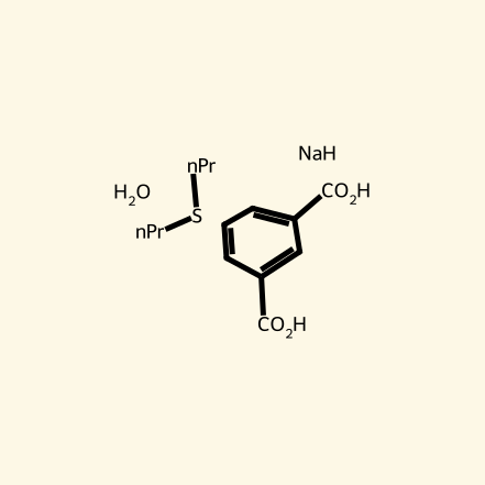 CCCSCCC.O.O=C(O)c1cccc(C(=O)O)c1.[NaH]